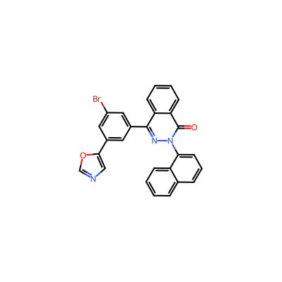 O=c1c2ccccc2c(-c2cc(Br)cc(-c3cnco3)c2)nn1-c1cccc2ccccc12